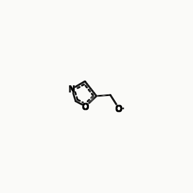 [O]Cc1cnco1